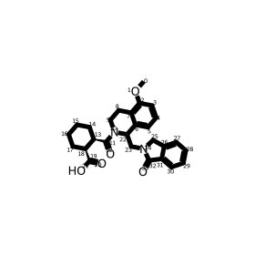 COc1cccc2c1CCN(C(=O)[C@@H]1CCCC[C@@H]1C(=O)O)C2CN1Cc2ccccc2C1=O